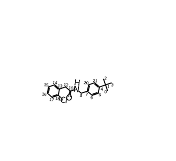 CC(C)(C)c1ccc(CNC(=O)Cc2ccccc2Cl)cc1